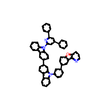 c1ccc(-c2cc(-c3ccccc3)nc(-n3c4ccccc4c4cc(-c5ccc6c7ccccc7n(-c7cccc(-c8ccc9oc%10cccnc%10c9c8)c7)c6c5)ccc43)c2)cc1